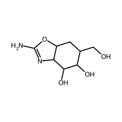 NC1=NC2C(CC(CO)C(O)C2O)O1